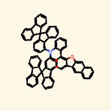 c1ccc(N(c2ccc3c(c2)C2(c4ccccc4-c4ccccc42)c2ccccc2-3)c2cccc3c2-c2ccccc2C32c3ccccc3-c3ccccc32)c(-c2cccc3c2oc2cc4ccccc4cc23)c1